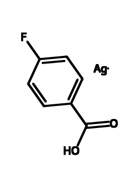 O=C(O)c1ccc(F)cc1.[Ag]